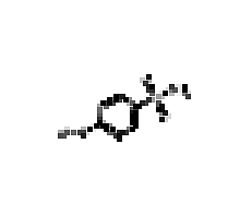 CNc1ccc(S(N)(=O)=O)cn1